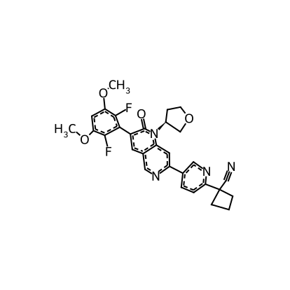 COc1cc(OC)c(F)c(-c2cc3cnc(-c4ccc(C5(C#N)CCC5)nc4)cc3n([C@H]3CCOC3)c2=O)c1F